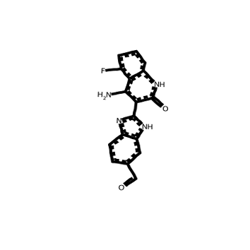 Nc1c(-c2nc3ccc(C=O)cc3[nH]2)c(=O)[nH]c2cccc(F)c12